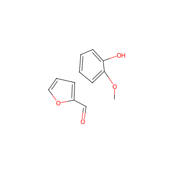 COc1ccccc1O.O=Cc1ccco1